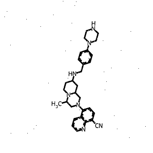 CC1CN(c2ccc(C#N)c3ncccc23)CC2CC(NCc3ccc(N4CCNCC4)cc3)CCN12